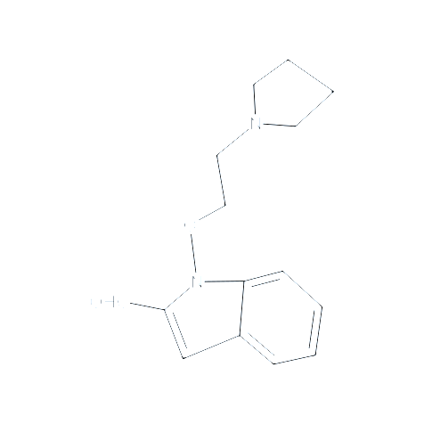 O=Cc1cc2ccccc2n1OCCN1CCCC1